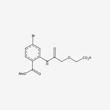 COC(=O)c1ccc(Br)cc1NC(=O)COCC(=O)O